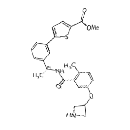 COC(=O)c1ccc(-c2cccc([C@@H](C)NC(=O)c3cc(OC4CNC4)ccc3C)c2)s1